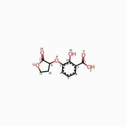 O=C(O)c1cccc(OC2CCOC2=O)c1O